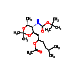 CC(=O)OC(CCC(C)C)C[C@H]1OC(C)(C)O[C@H](C)[C@@H]1NC(=O)OC(C)(C)C